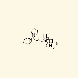 C=C(C)[SiH2]CCCC(N1CCCCC1)N1CCCCC1